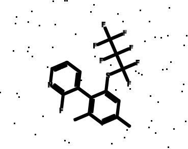 Cc1[c]c(C)c(-c2cccnc2F)c(SC(F)(F)C(F)(F)C(F)(F)F)c1